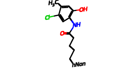 CCCCCCCCCCCCCC(=O)Nc1cc(Cl)c(C)cc1O